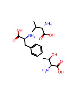 CC(C)[C@H](N)C(=O)O.C[C@@H](O)[C@H](N)C(=O)O.N[C@@H](Cc1ccccc1)C(=O)O